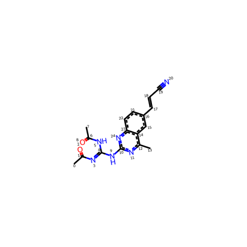 CC(=O)/N=C(\NC(C)=O)Nc1nc(C)c2cc(/C=C/C#N)ccc2n1